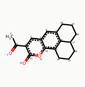 CC(=O)c1cc2cc3c4c(c2oc1=O)CCCC4CCC3